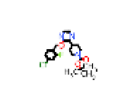 CC(C)(C)OC(=O)N1CCC(c2nccnc2OCc2ccc(Cl)cc2F)CC1